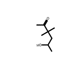 CC(=O)C(C)(C)CC(C)O